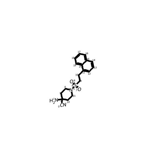 N#CC1(N)CCN(S(=O)(=O)CCc2cccc3ccccc23)CC1